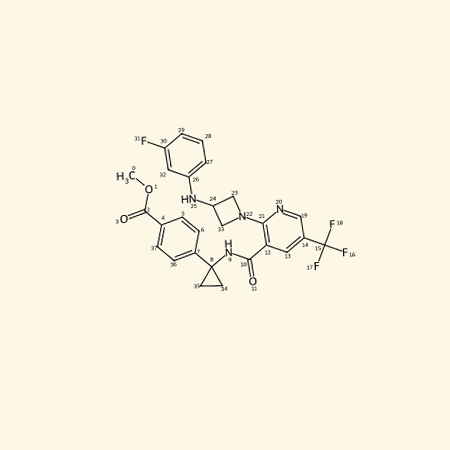 COC(=O)c1ccc(C2(NC(=O)c3cc(C(F)(F)F)cnc3N3CC(Nc4cccc(F)c4)C3)CC2)cc1